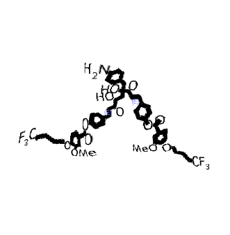 COc1cc(C(=O)Oc2ccc(/C=C/C(=O)C(O)CC(O)(Cc3ccc(N)cc3)C(=O)/C=C/c3ccc(OC(=O)c4ccc(OCCCCC(F)(F)F)c(OC)c4)cc3)cc2)ccc1OCCCCC(F)(F)F